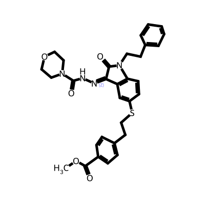 COC(=O)c1ccc(CCSc2ccc3c(c2)/C(=N/NC(=O)N2CCOCC2)C(=O)N3CCc2ccccc2)cc1